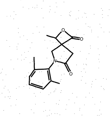 Cc1cccc(C)c1N1CC2(CC1=O)C(=O)OC2C